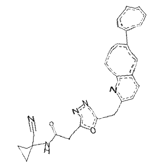 N#CC1(NC(=O)Cc2nnc(Cc3ccc4cc(-c5ccccc5)ccc4n3)o2)CC1